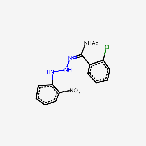 CC(=O)NC(=NNNc1ccccc1[N+](=O)[O-])c1ccccc1Cl